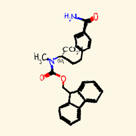 CN(C(=O)OCC1c2ccccc2-c2ccccc21)[C@@H](CCc1ccc(C(N)=O)cc1)C(=O)O